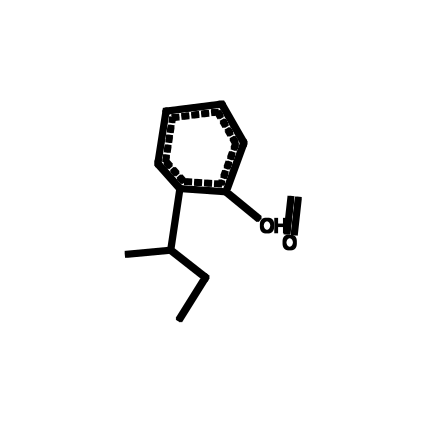 C=O.CCC(C)c1ccccc1O